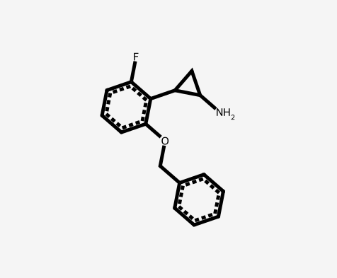 NC1CC1c1c(F)cccc1OCc1ccccc1